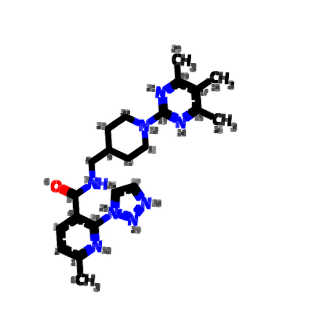 Cc1ccc(C(=O)NCC2CCN(c3nc(C)c(C)c(C)n3)CC2)c(-n2ccnn2)n1